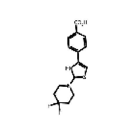 O=C(O)c1ccc(C2=CSC(N3CCC(F)(F)CC3)N2)cc1